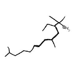 BC(C)(C)C(CC)CC(C)CCCCCCC(C)C